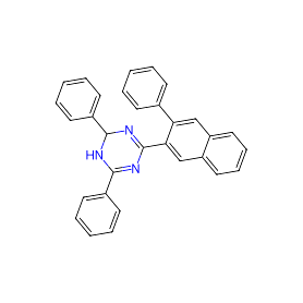 c1ccc(C2=NC(c3cc4ccccc4cc3-c3ccccc3)=NC(c3ccccc3)N2)cc1